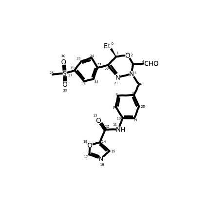 CC[C@H]1OC(C=O)N(Cc2ccc(NC(=O)c3cnco3)cc2)N=C1c1ccc(S(C)(=O)=O)cc1